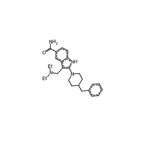 CCN(CC)Cc1c(N2CCC(Cc3ccccc3)CC2)[nH]c2ccc(C(N)=O)cc12